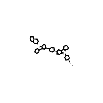 N#Cc1ccc(-n2c3ccccc3c3cc(-c4ccc(-c5ccc6c(c5)c5ccccc5n6-c5ccc6ccccc6c5)cc4)ccc32)cc1